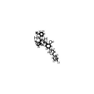 COc1cc(N2CCC(N3CCN(C)CC3)CC2)ccc1Nc1nc(Nc2ccccc2SC)c2c(ccn2C)n1